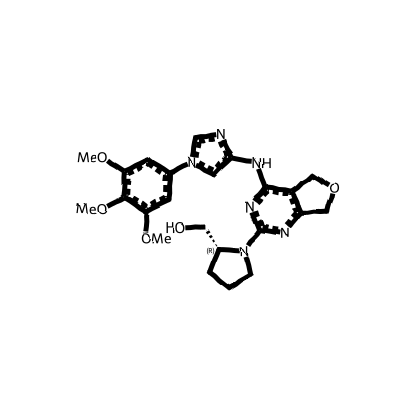 COc1cc(-n2cnc(Nc3nc(N4CCC[C@@H]4CO)nc4c3COC4)c2)cc(OC)c1OC